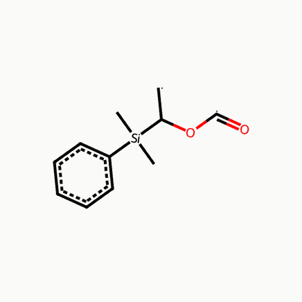 [CH2]C(O[C]=O)[Si](C)(C)c1ccccc1